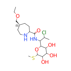 CCOC[C@@H]1CCNC(C(=O)NC(C(C)Cl)C2OC(SC)C(O)C(O)C2O)CC1